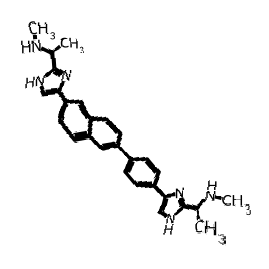 CN[C@@H](C)c1nc(-c2ccc(-c3ccc4cc(-c5c[nH]c([C@H](C)NC)n5)ccc4c3)cc2)c[nH]1